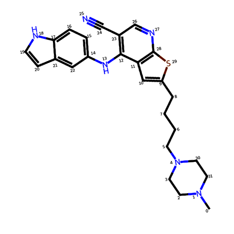 CN1CCN(CCCCc2cc3c(Nc4ccc5[nH]ccc5c4)c(C#N)cnc3s2)CC1